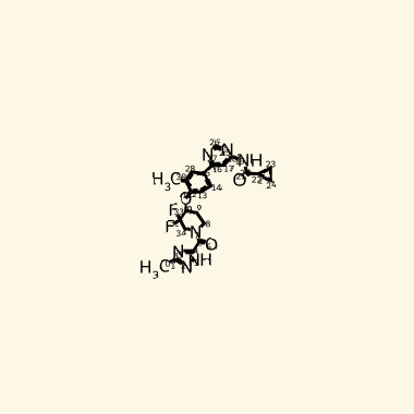 Cc1n[nH]c(C(=O)N2CC[C@H](Oc3ccc(-c4cc(NC(=O)C5CC5)ncn4)cc3C)C(F)(F)C2)n1